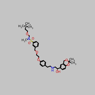 CN(COCC[Si](C)(C)C)S(=O)(=O)c1cccc(COCCOc2ccc(CCNC[C@H](O)c3ccc4c(c3)COC(C)(C)O4)cc2)c1